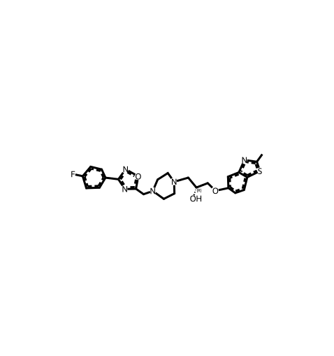 Cc1nc2cc(OC[C@H](O)CN3CCN(Cc4nc(-c5ccc(F)cc5)no4)CC3)ccc2s1